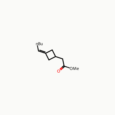 CCCCC=C1CC(CC(=O)OC)C1